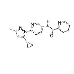 Cc1cc(C2CC2)n(-c2ccc(NC(=O)c3ccccn3)cn2)n1